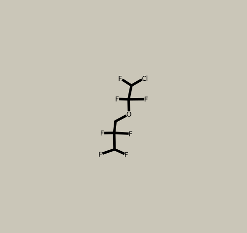 FC(F)C(F)(F)COC(F)(F)C(F)Cl